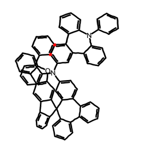 c1ccc(-c2ccccc2N(c2ccc3c(c2)-c2ccccc2N(c2ccccc2)c2ccccc2-3)c2ccc3c(c2)C2(c4ccccc4-c4ccccc4-3)c3ccccc3-c3cc4c(cc32)oc2ccccc24)cc1